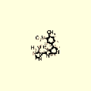 CCn1c(-n2ncnc2N)nc2cncc(-c3ccc(C)c([N+](=O)[O-])c3)c21